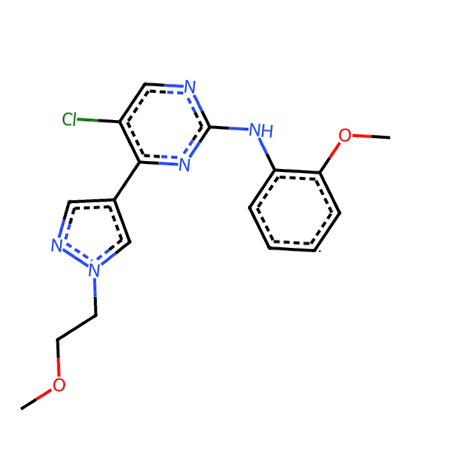 COCCn1cc(-c2nc(Nc3cc[c]cc3OC)ncc2Cl)cn1